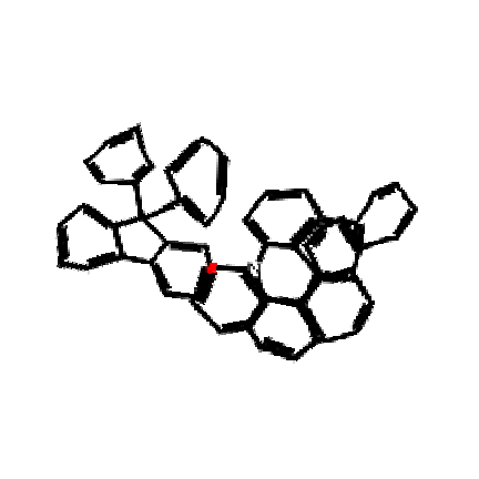 c1ccc(-c2ccccc2-c2c(-c3ccccc3)cccc2N(c2ccc3c(c2)C(c2ccccc2)(c2ccccc2)c2ccccc2-3)c2ccccc2-c2ccccc2)cc1